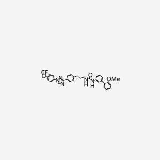 COc1ccccc1-c1cccc(NC(=O)NCCCc2ccc(-c3ncn(-c4ccc(OC(F)(F)F)cc4)n3)cc2)c1